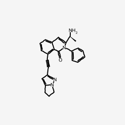 C[C@H](N)c1cc2cccc(C#Cc3cc4n(n3)CCC4)c2c(=O)n1-c1ccccc1